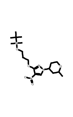 CC1CC(n2cc([N+](=O)[O-])c(OCCCO[Si](C)(C)C(C)(C)C)n2)CCO1